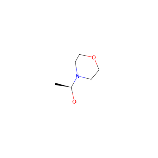 C[C@H]([O])N1CCOCC1